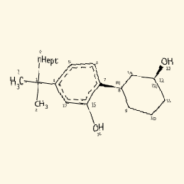 CCCCCCCC(C)(C)c1ccc([C@@H]2CCC[C@H](O)C2)c(O)c1